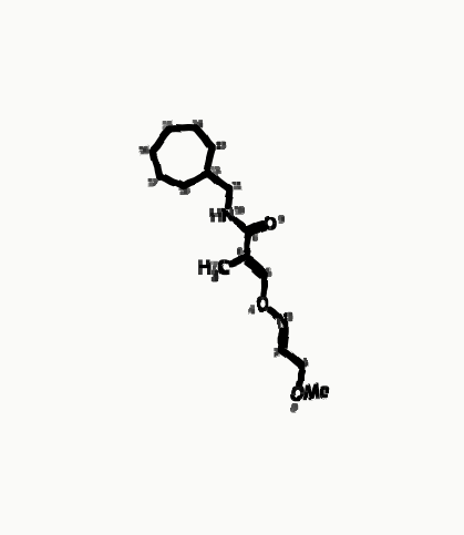 COC/C=N/O/C=C(\C)C(=O)NCC1CCCCCC1